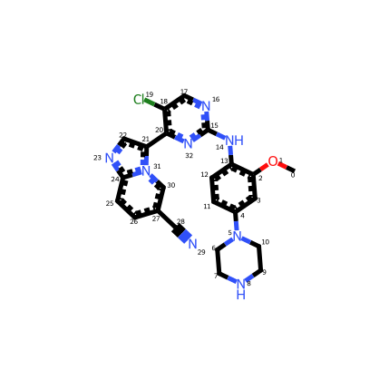 COc1cc(N2CCNCC2)ccc1Nc1ncc(Cl)c(-c2cnc3ccc(C#N)cn23)n1